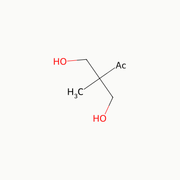 CC(=O)C(C)(CO)CO